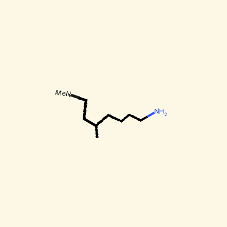 CNCCC(C)CCCCN